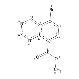 COC(=O)c1ccc(Br)c2cncnc12